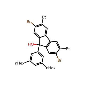 CCCCCCc1cc(CCCCCC)cc(C2(O)c3cc(Br)c(CC)cc3-c3cc(CC)c(Br)cc32)c1